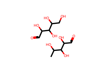 CC(O)C(O)C(O)C=O.O=CC(O)C(O)C(O)CO